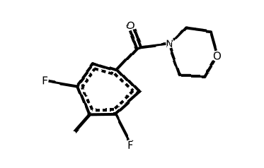 Cc1c(F)cc(C(=O)N2CCOCC2)cc1F